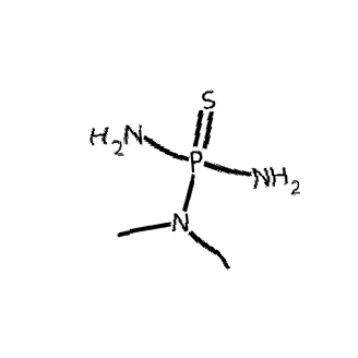 CN(C)P(N)(N)=S